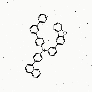 c1ccc(-c2cccc(-c3ccc(N(c4ccc(-c5cccc6ccccc56)cc4)c4cccc(-c5ccc6oc7ccccc7c6c5)c4)cc3)c2)cc1